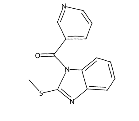 CSc1nc2ccccc2n1C(=O)c1cccnc1